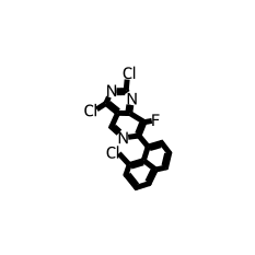 Fc1c(-c2cccc3cccc(Cl)c23)ncc2c(Cl)nc(Cl)nc12